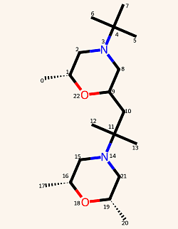 C[C@@H]1CN(C(C)(C)C)CC(CC(C)(C)N2C[C@@H](C)O[C@@H](C)C2)O1